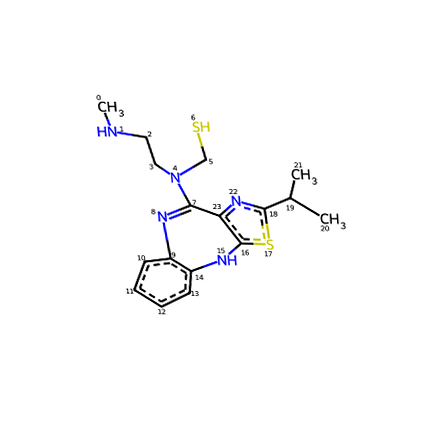 CNCCN(CS)C1=Nc2ccccc2Nc2sc(C(C)C)nc21